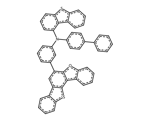 c1ccc(-c2ccc(N(c3cccc(-c4cc5c6ccccc6sc5c5c4oc4ccccc45)c3)c3cccc4sc5ccccc5c34)cc2)cc1